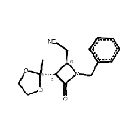 CC1([C@H]2C(=O)N(Cc3ccccc3)[C@@H]2CC#N)OCCO1